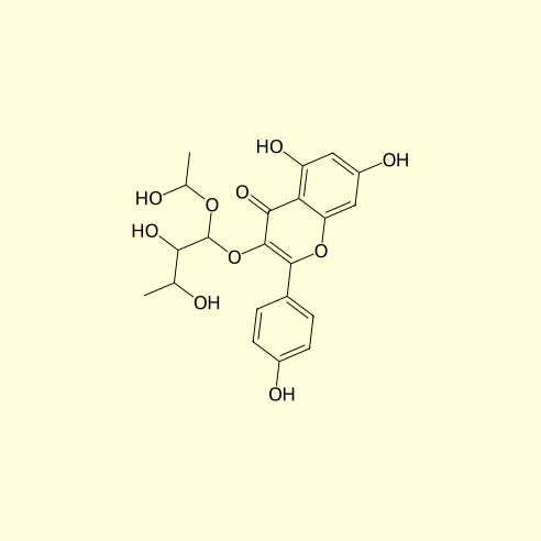 CC(O)OC(Oc1c(-c2ccc(O)cc2)oc2cc(O)cc(O)c2c1=O)C(O)C(C)O